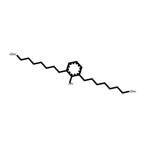 [CH2]CCc1c(CCCCCCCCCCCCCCCCC)cccc1CCCCCCCCCCCCCCCCC